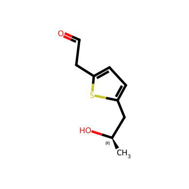 C[C@@H](O)Cc1ccc(CC=O)s1